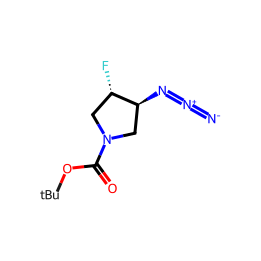 CC(C)(C)OC(=O)N1C[C@H](N=[N+]=[N-])[C@@H](F)C1